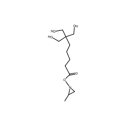 CC1CN1OC(=O)CCCCC(CO)(CO)CO